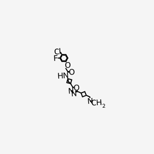 C=NCC1CC(c2nnc(C34CC(NC(=O)COc5ccc(Cl)c(F)c5)(C3)C4)o2)C1